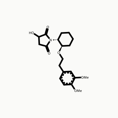 COc1ccc(CCO[C@@H]2CCCC[C@H]2N2C(=O)CC(O)C2=O)cc1OC